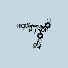 COC(=O)C=CCN(C[C@@H](O)c1cccc(Cl)c1)C(C)Cc1ccc(OCC(=O)OC)cc1.Cl